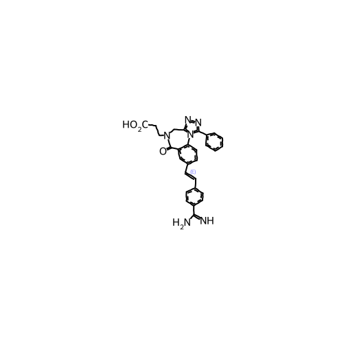 N=C(N)c1ccc(/C=C/c2ccc3c(c2)C(=O)N(CCC(=O)O)Cc2nnc(-c4ccccc4)n2-3)cc1